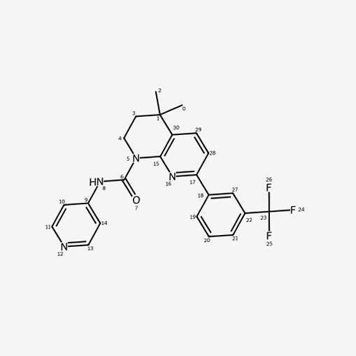 CC1(C)CCN(C(=O)Nc2ccncc2)c2nc(-c3cccc(C(F)(F)F)c3)ccc21